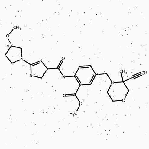 C#CC1(C)COCCN1Cc1ccc(NC(=O)C2CSC(N3CC[C@H](OC)C3)=N2)c(C(=O)OC)c1